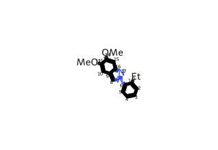 CCc1ccccc1-n1cc2cc(OC)c(OC)cc2n1